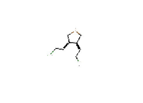 ClCC=C1CSCC1=CCCl